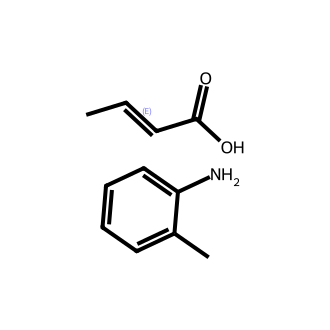 C/C=C/C(=O)O.Cc1ccccc1N